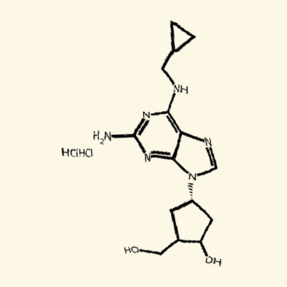 Cl.Cl.Nc1nc(NCC2CC2)c2ncn([C@@H]3CC(O)C(CO)C3)c2n1